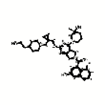 C[C@@]1(O)CCCN(c2nc(OCC3(CN4CCC(CCO)CC4)CC3)nc3c2CN(C(=O)c2cc(O)cc4cccc(I)c24)C3)C1